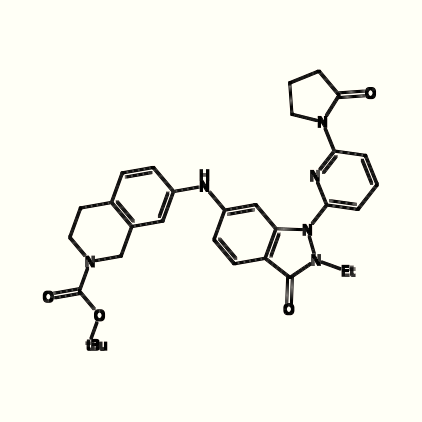 CCn1c(=O)c2ccc(Nc3ccc4c(c3)CN(C(=O)OC(C)(C)C)CC4)cc2n1-c1cccc(N2CCCC2=O)n1